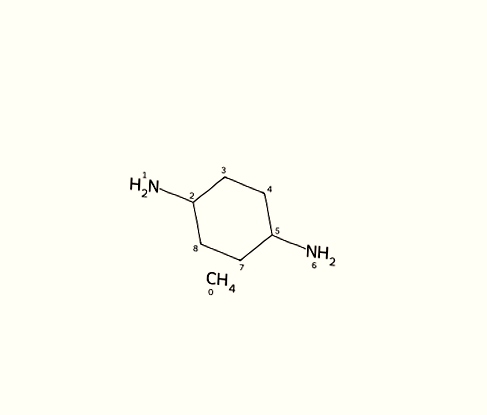 C.NC1CCC(N)CC1